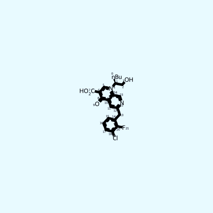 CCCC[C@@H](CO)n1cc(C(=O)O)c(=O)c2cc(Cc3cccc(Cl)c3F)ncc21